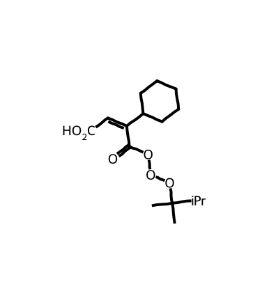 CC(C)C(C)(C)OOOC(=O)C(=CC(=O)O)C1CCCCC1